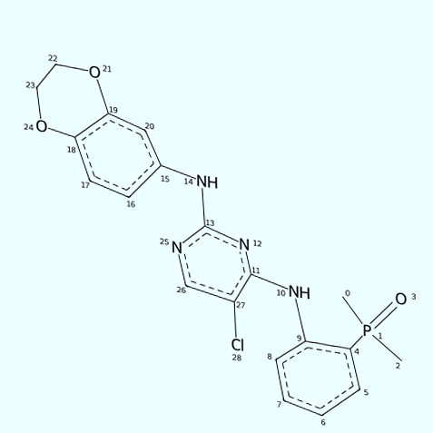 CP(C)(=O)c1ccccc1Nc1nc(Nc2ccc3c(c2)OCCO3)ncc1Cl